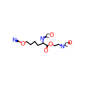 N#COCCCCC(N=C=O)C(=O)OCCN=C=O